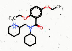 O=C(c1cc(OCC(F)(F)F)ccc1OCC(F)(F)F)N(CC1CCCCN1)C1CCCCC1